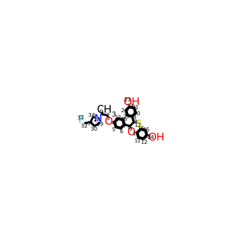 CC(COc1ccc(C2Oc3ccc(O)cc3SC2c2ccc(O)cc2)cc1)N1CCC(CF)C1